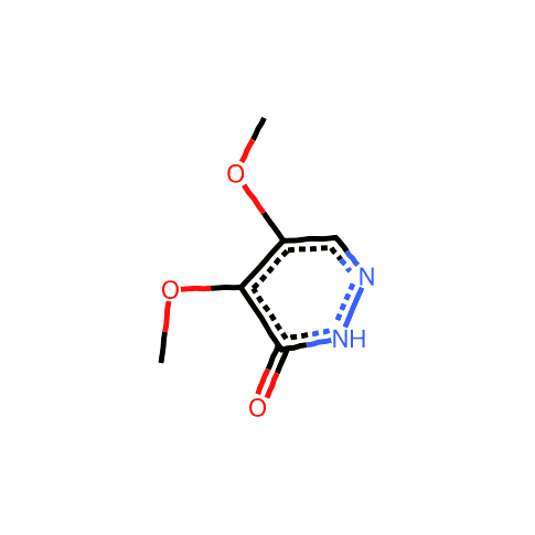 COc1cn[nH]c(=O)c1OC